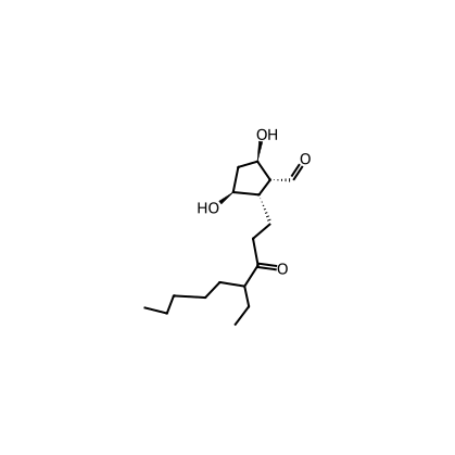 CCCCCC(CC)C(=O)CC[C@H]1[C@@H](C=O)[C@H](O)C[C@@H]1O